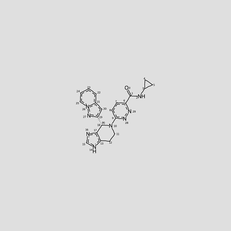 O=C(NC1CC1)c1ccc(N2CCc3[nH]cnc3[C@@H]2c2cc3ccccn3n2)nn1